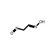 O=NCC=NO